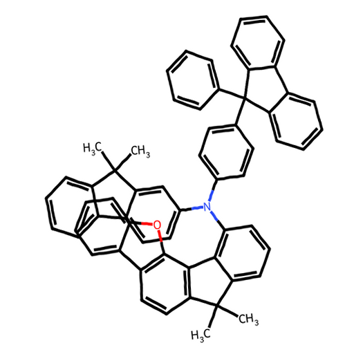 CC1(C)c2ccccc2-c2ccc(N(c3ccc(C4(c5ccccc5)c5ccccc5-c5ccccc54)cc3)c3cccc4c3-c3c(ccc5c3oc3ccccc35)C4(C)C)cc21